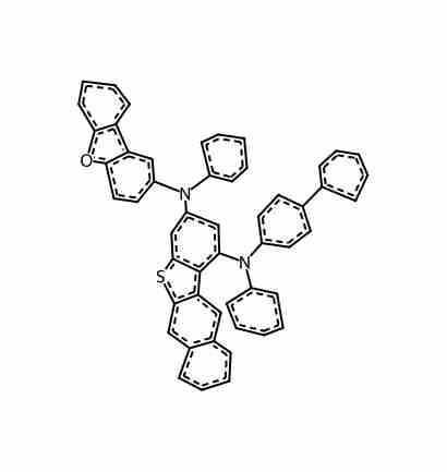 c1ccc(-c2ccc(N(c3ccccc3)c3cc(N(c4ccccc4)c4ccc5oc6ccccc6c5c4)cc4sc5cc6ccccc6cc5c34)cc2)cc1